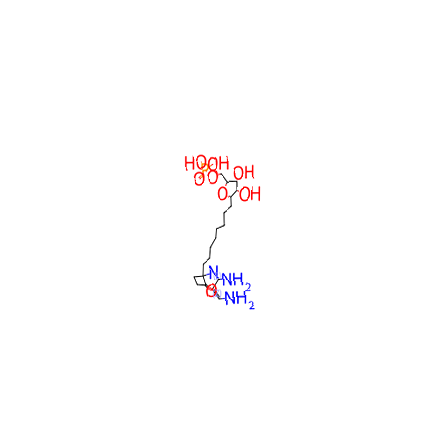 N/C=C\C(N)=N/C1(CCCCCCCCC2OC(COP(=O)(O)O)C(O)C2O)CCC1=O